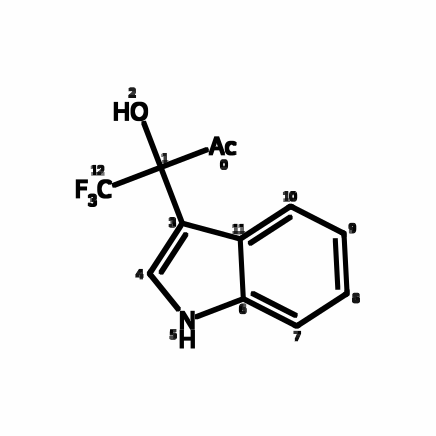 CC(=O)C(O)(c1c[nH]c2ccccc12)C(F)(F)F